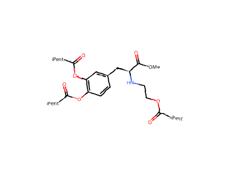 CCCCCC(=O)OCCN[C@@H](Cc1ccc(OC(=O)C(C)CCC)c(OC(=O)C(C)CCC)c1)C(=O)OC